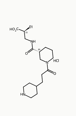 CC[C@@H](CNC(=O)[C@@H]1CCCN(C(=O)CCC2CCNCC2)C1)C(=O)O.Cl